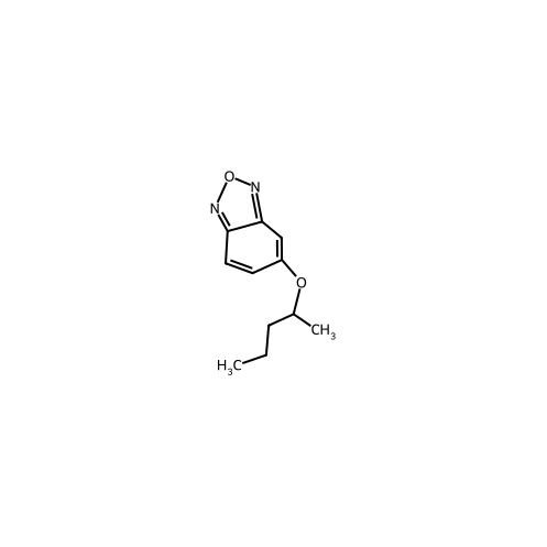 CCCC(C)Oc1ccc2nonc2c1